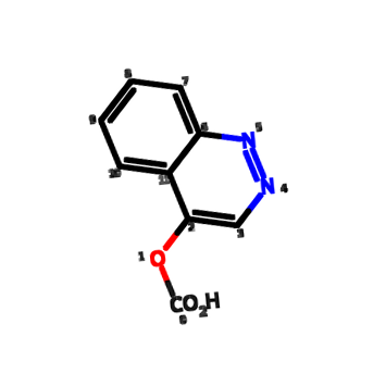 O=C(O)Oc1cnnc2ccccc12